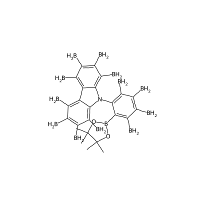 Bc1c(B)c(B)c(-n2c3c(B)c(B)c(B)c(B)c3c3c(B)c(B)c(B)c(B)c32)c(B2OC(C)(C)C(C)(C)O2)c1B